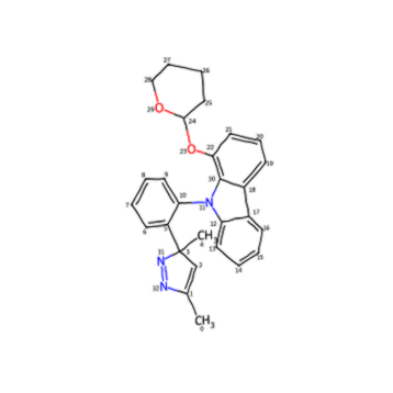 CC1=CC(C)(c2ccccc2-n2c3ccccc3c3cccc(OC4CCCCO4)c32)N=N1